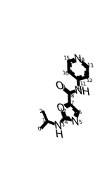 CC(C)Nc1ncc(C(=O)Nc2ccncc2)o1